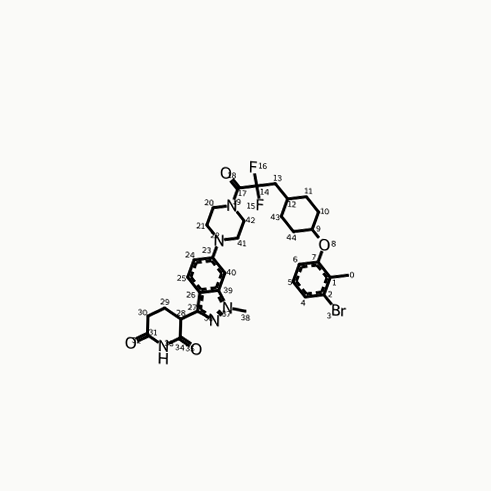 Cc1c(Br)cccc1OC1CCC(CC(F)(F)C(=O)N2CCN(c3ccc4c(C5CCC(=O)NC5=O)nn(C)c4c3)CC2)CC1